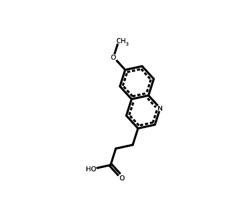 COc1ccc2ncc(CCC(=O)O)cc2c1